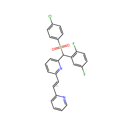 O=S(=O)(c1ccc(Cl)cc1)C(c1cccc(/C=C/c2ccccn2)n1)c1cc(F)ccc1F